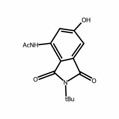 CC(=O)Nc1cc(O)cc2c1C(=O)N(C(C)(C)C)C2=O